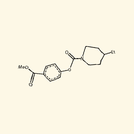 CCC1CCN(C(=O)Oc2ccc(C(=O)OC)cc2)CC1